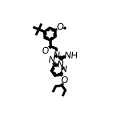 CCC(CC)Oc1ccc2nn(CC(=O)c3cc(OC)cc(C(C)(C)C)c3)c(=N)n2n1